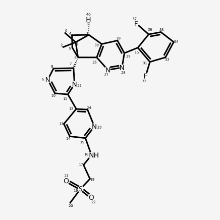 CC1(C)[C@H]2CC[C@]1(c1cncc(-c3ccc(NCCS(C)(=O)=O)nc3)n1)c1nnc(-c3c(F)cccc3F)cc12